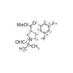 COC(=O)C1CN(C(C)(C)C=O)C[C@H]1c1ccc(F)cc1F